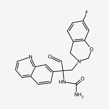 NC(=O)NC(C=O)(CN1COc2cc(F)ccc2C1)c1ccc2cccnc2c1